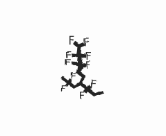 CCC(F)(F)C(CCC(F)(F)C(F)(F)C(F)F)CC(C)(F)F